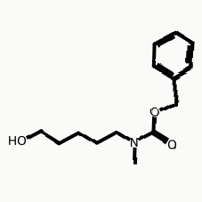 CN(CCCCCO)C(=O)OCc1ccccc1